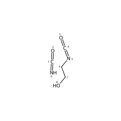 N=C=O.O=C=NCCO